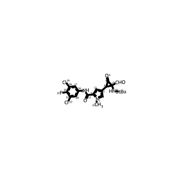 Cn1cc(C2C(=O)C2(C=O)NC(C)(C)C)cc1C(=O)Nc1cc(Cl)c(F)c(Cl)c1